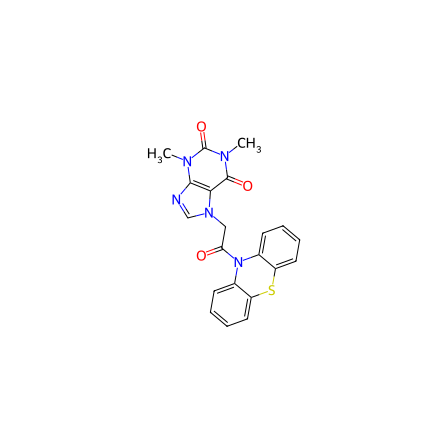 Cn1c(=O)c2c(ncn2CC(=O)N2c3ccccc3Sc3ccccc32)n(C)c1=O